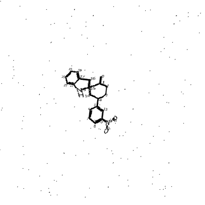 CC1CCC(c2cccc([N+](=O)[O-])c2)CC12Cc1ccccc1N2